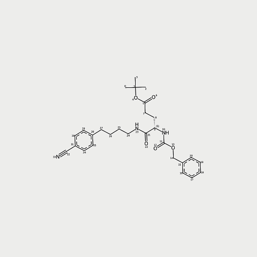 CC(C)(C)OC(=O)CC[C@H](NC(=O)OCc1ccccc1)C(=O)NCCCCc1ccc(C#N)cc1